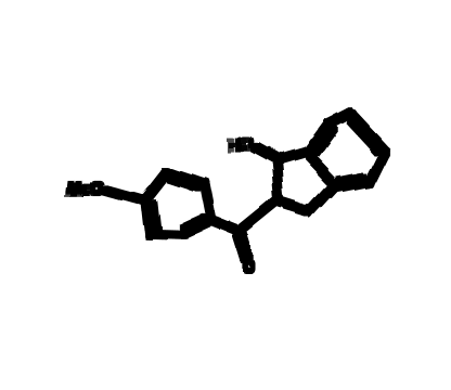 COc1ccc(C(=O)C2Cc3ccccc3C2O)cc1